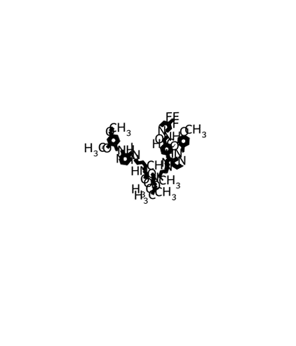 COc1ccc(CNc2nccc3c2c(I)nn3CC[C@@H](C)NC(=O)ON(C(=O)OC(C)(C)C)[C@H](C)CCn2nc(-c3ccc(C(=O)Nc4cc(C(F)(F)F)ccn4)cc3)c3c(NCc4ccc(OC)cc4OC)nccc32)c(OC)c1